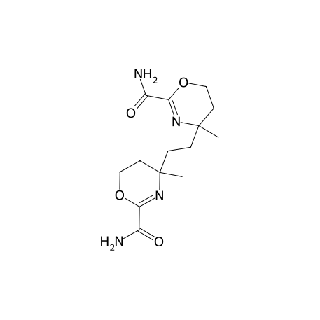 CC1(CCC2(C)CCOC(C(N)=O)=N2)CCOC(C(N)=O)=N1